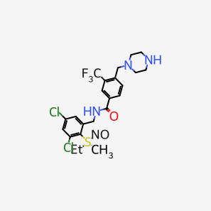 CCS(C)(N=O)c1c(Cl)cc(Cl)cc1CNC(=O)c1ccc(CN2CCNCC2)c(C(F)(F)F)c1